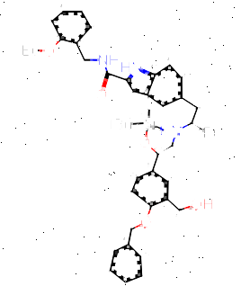 CCOc1ccccc1CNC(=O)c1cc2cc(C[C@@H](CC)NC[C@H](O[Si](C)(C)C(C)(C)C)c3ccc(OCc4ccccc4)c(CO)c3)ccc2[nH]1